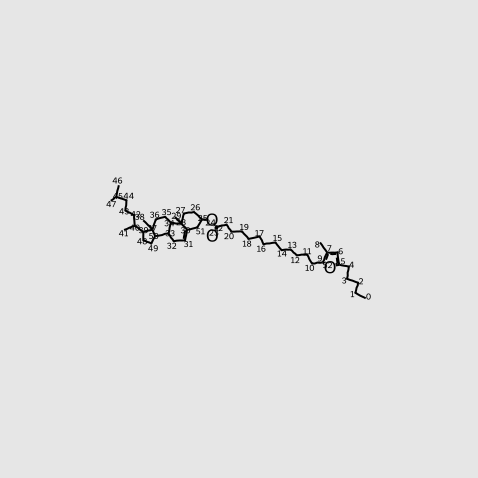 CCCCCc1cc(C)c(CCCCCCCCCCCCC(=O)OC2CCC3(C)C(=CCC4C3CCC3(C)C(C(C)CCCC(C)C)CCC43)C2)o1